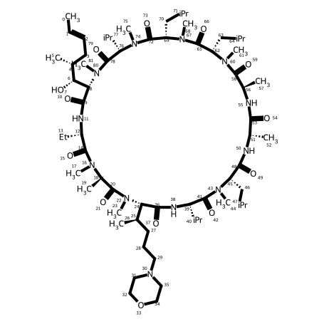 C/C=C/C[C@@H](C)[C@@H](O)[C@H]1C(=O)N[C@@H](CC)C(=O)N(C)[C@H](C)C(=O)N(C)[C@@H]([C@H](C)CCCN2CCOCC2)C(=O)N[C@@H](C(C)C)C(=O)N(C)[C@@H](CC(C)C)C(=O)N[C@@H](C)C(=O)N[C@H](C)C(=O)N(C)[C@@H](CC(C)C)C(=O)N(C)[C@@H](CC(C)C)C(=O)N(C)[C@@H](C(C)C)C(=O)N1C